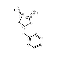 N[C@@H]1CN(Cc2ccccc2)C[C@H]1N